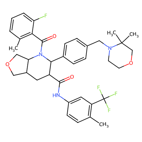 Cc1ccc(NC(=O)C2CC3COCC3N(C(=O)c3c(C)cccc3F)C2c2ccc(CN3CCOCC3(C)C)cc2)cc1C(F)(F)F